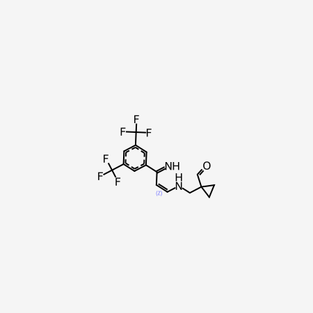 N=C(/C=C\NCC1(C=O)CC1)c1cc(C(F)(F)F)cc(C(F)(F)F)c1